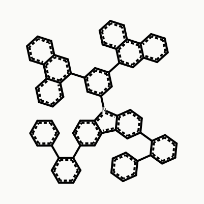 c1ccc(-c2ccccc2-c2ccc3c(c2)c2cc(-c4ccccc4-c4ccccc4)ccc2n3-c2cc(-c3cc4ccccc4c4ccccc34)cc(-c3cc4ccccc4c4ccccc34)c2)cc1